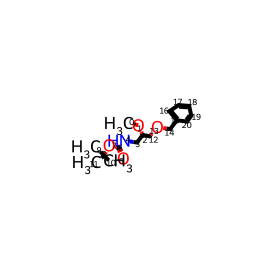 COC(CNC(=O)OC(C)(C)C)COCc1ccccc1